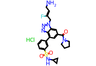 Cl.NC/C=C(\F)Cn1nnc2c(-c3cccc(S(=O)(=O)NC4CC4)c3)cc(C(=O)N3CCCC3)cc21